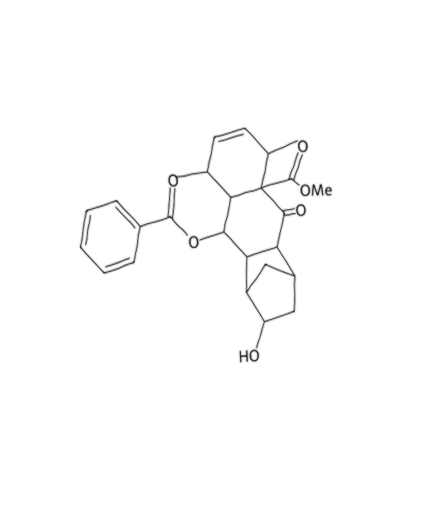 COC(=O)C12C(=O)C3C4CC(O)C(C4)C3C(OC(=O)c3ccccc3)C1C(C)C=CC2C